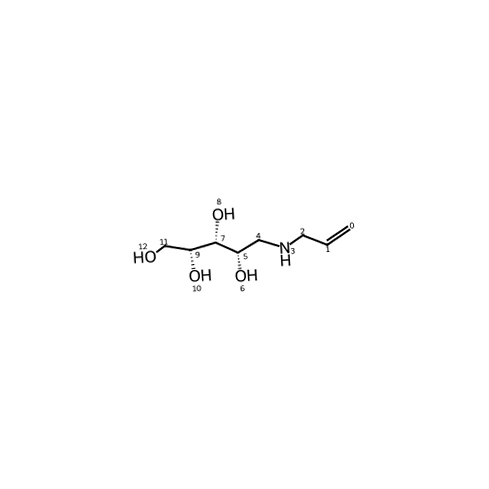 C=CCNC[C@H](O)[C@@H](O)[C@H](O)CO